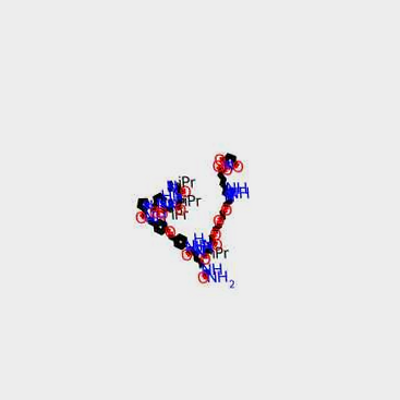 CC(C)C(NC(=O)COCCOCCOCCN1C=C(CCCC(=O)ON2C(=O)CCC2=O)NN1)C(=O)NC(CCCNC(N)=O)C(=O)Nc1ccc(COc2ccc(CNC(=O)C3CCCN3C(=O)C3CCCN3C(=O)C(C(C)C)N(C)C(=O)C(NC(=O)C(C(C)C)N(C)C)C(C)C)cc2)cc1